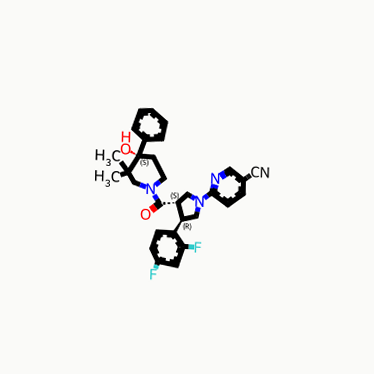 CC1(C)CN(C(=O)[C@@H]2CN(c3ccc(C#N)cn3)C[C@H]2c2ccc(F)cc2F)CC[C@]1(O)c1ccccc1